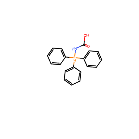 O=C(O)N[PH](c1ccccc1)(c1ccccc1)c1ccccc1